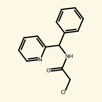 O=C(CCl)NC(c1ccccc1)c1ccccn1